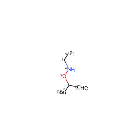 CCCCC(C=O)ONCC(C)C